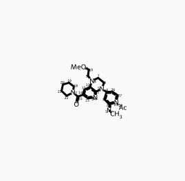 C/N=c1/cc(N2CCN(CCOC)c3cc(C(=O)N4CCCCC4)cnc32)ccn1C(C)=O